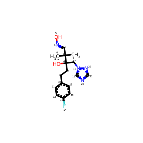 CC(C)(C=NO)C(O)(CCc1ccc(F)cc1)Cn1cncn1